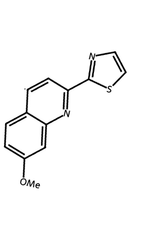 COc1ccc2[c]cc(-c3nccs3)nc2c1